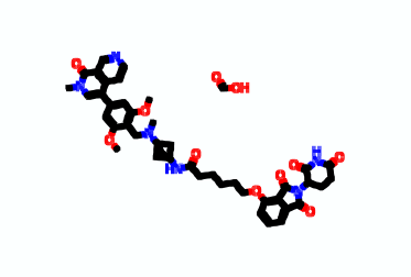 COc1cc(-c2cn(C)c(=O)c3cnccc23)cc(OC)c1CN(C)C12CC(NC(=O)CCCCCOc3cccc4c3C(=O)N(C3CCC(=O)NC3=O)C4=O)(C1)C2.O=CO